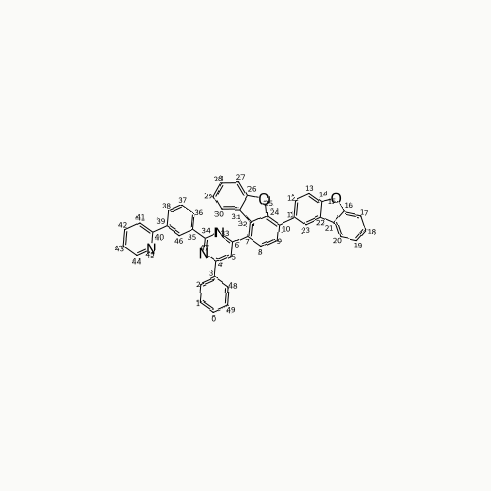 c1ccc(-c2cc(-c3ccc(-c4ccc5oc6ccccc6c5c4)c4oc5ccccc5c34)nc(-c3cccc(-c4ccccn4)c3)n2)cc1